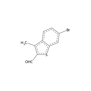 Cc1c(C=O)sc2cc(Br)ccc12